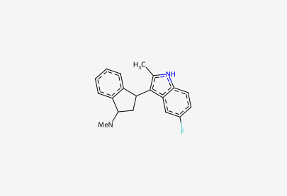 CNC1CC(c2c(C)[nH]c3ccc(F)cc23)c2ccccc21